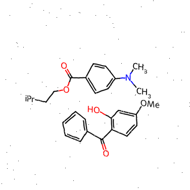 CC(C)CCOC(=O)c1ccc(N(C)C)cc1.COc1ccc(C(=O)c2ccccc2)c(O)c1